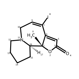 C[C@]12OC(=O)C=C1C(I)=CCN1CCCC[C@@H]12